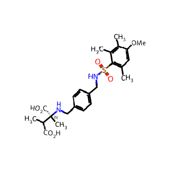 COc1cc(C)c(S(=O)(=O)NCc2ccc(CN[C@](C)(C(=O)O)C(C)C(=O)O)cc2)c(C)c1C